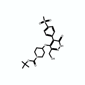 CC(C)(C)OC(=O)N1CCC(Oc2c(CO)n[nH]c(=O)c2-c2ccc(S(C)(=O)=O)cc2)CC1